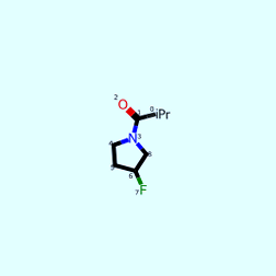 CC(C)C(=O)N1CCC(F)C1